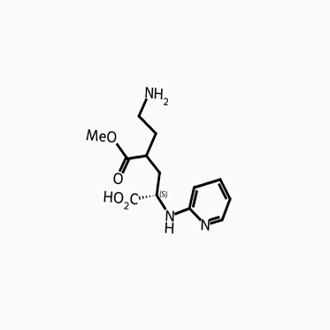 COC(=O)C(CCN)C[C@H](Nc1ccccn1)C(=O)O